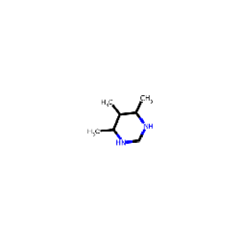 CC1NCNC(C)C1C